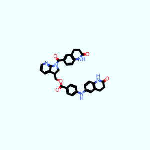 O=C1CCc2cc(Nc3ccc(C(=O)OCC4CN(C(=O)c5ccc6c(c5)CCC(=O)N6)c5ncccc54)cc3)ccc2N1